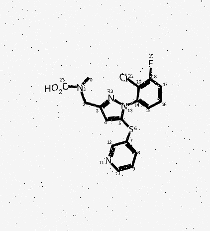 CN(Cc1cc(Sc2cccnc2)n(-c2cccc(F)c2Cl)n1)C(=O)O